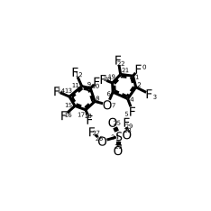 Fc1c(F)c(F)c(Oc2c(F)c(F)c(F)c(F)c2F)c(F)c1F.O=S(=O)(OF)OF